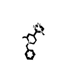 CC1CC(c2nncn2C)CCN1Cc1ccccc1